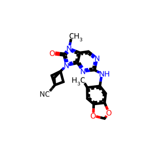 Cc1cc2c(cc1Nc1ncc3c(n1)n(C14CC(C#N)(C1)C4)c(=O)n3C)OCO2